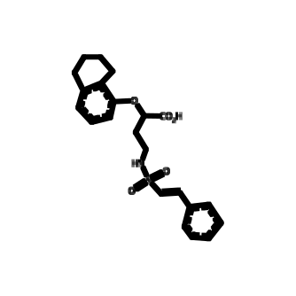 O=C(O)C(CCNS(=O)(=O)C=Cc1ccccc1)Oc1cccc2c1CCCC2